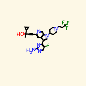 CC(O)(C#Cc1cc2c(-c3nc(N)ncc3F)cn(C3CCN(CCC(F)(F)F)CC3)c2cn1)C1CC1